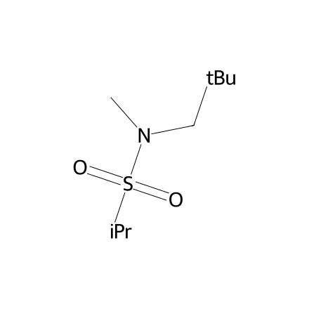 CC(C)S(=O)(=O)N(C)CC(C)(C)C